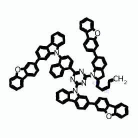 C=C/C=C\C=C1/Cc2ccc(-c3ccc4c(c3)oc3ccccc34)cc2N1c1nc(-c2ccc(-n3c4ccccc4c4ccc(-c5ccc6c(c5)oc5ccccc56)cc43)c3ccccc23)nc(-n2c3ccccc3c3ccc(-c4ccc5c(c4)oc4ccccc45)cc32)n1